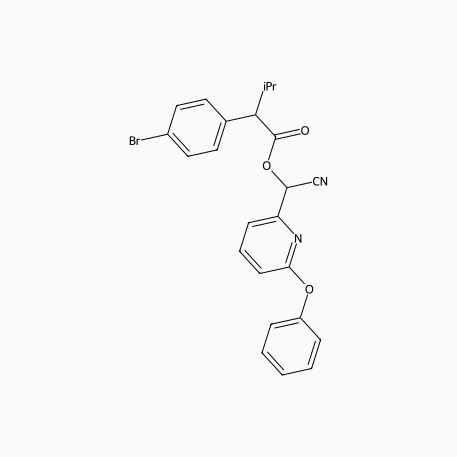 CC(C)C(C(=O)OC(C#N)c1cccc(Oc2ccccc2)n1)c1ccc(Br)cc1